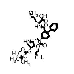 C=CCOC(=O)N(C[C@@H]1C[C@H](SC(=O)OC(C)(C)C)CN1)c1ccc(-c2ccccc2)c(C(=O)N[C@@H](CCSC)C(=O)O)c1